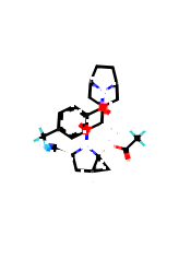 N#C[C@@H]1C[C@@H]2C[C@@]2(OC(=O)C(F)(F)F)N1C(=O)[C@@H](N)C1CC2CCC(C1)N2C(=O)c1ccc(C(F)(F)F)cc1